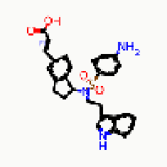 Nc1ccc(S(=O)(=O)N(CCc2c[nH]c3ccccc23)C2CCc3cc(/C=C/C(=O)O)ccc32)cc1